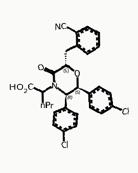 CCCC(C(=O)O)N1C(=O)[C@H](Cc2ccccc2C#N)O[C@@H](c2ccc(Cl)cc2)[C@H]1c1ccc(Cl)cc1